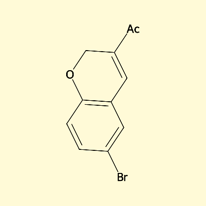 CC(=O)C1=Cc2cc(Br)ccc2OC1